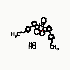 CCCc1ccc(-c2cccc3c2C=C(C2CCCCC2)[CH]3[Hf]2([CH]3C(C4CCCCC4)=Cc4c(-c5ccc(CCC)cc5)cccc43)[CH]3CCCC[CH]32)cc1.Cl.Cl